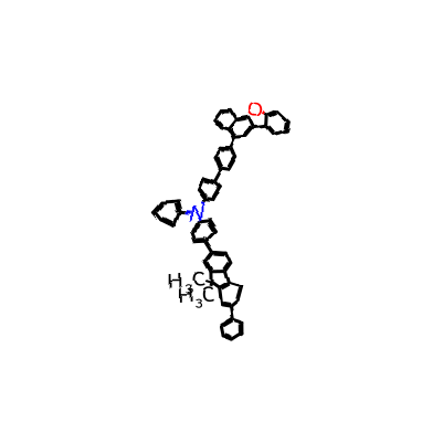 CC1(C)c2cc(-c3ccccc3)ccc2-c2ccc(-c3ccc(N(c4ccccc4)c4ccc(-c5ccc(-c6cc7c8ccccc8oc7c7ccccc67)cc5)cc4)cc3)cc21